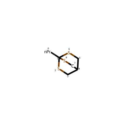 CCCC12SCC(CS1)CS2